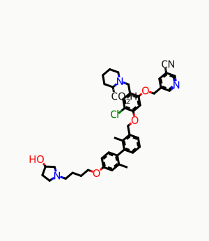 Cc1cc(OCCCCN2CCC(O)C2)ccc1-c1cccc(COc2cc(OCc3cncc(C#N)c3)c(CN3CCCCC3C(=O)O)cc2Cl)c1C